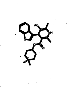 CC(=O)C1=C(C)NC(C)=C(C(=O)OC2CCC(C)(C)CC2)C1c1csc2ccccc12